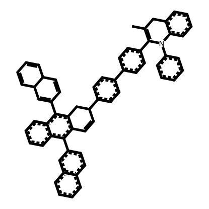 CC1=C(c2ccc(-c3ccc(C4C=Cc5c(c(C6=CC7C=CC=CC7C=C6)c6ccccc6c5-c5ccc6ccccc6c5)C4)cc3)cc2)N(c2ccccc2)c2ccccc2C1